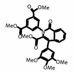 COC(=O)c1cc(C(=O)OC)cc(-n2c(C(=O)OC)c(-c3cc(OC)c(OC)c(OC)c3)c3ccccc3c2=O)c1